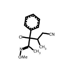 CON=C(C)C(Cl)(c1ccccc1)C(C)CC#N